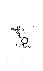 CC(=O)NC1(C)CCCCN(CCO[Si](C)(C)C(C)(C)C)C1